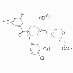 COC[C@@H]1CN(CCN2CCN(C(=O)c3cc(F)cc(C(F)(F)F)c3)[C@H](Cc3ccc(Cl)c(O)c3)C2)CCO1.Cl.Cl